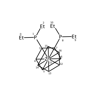 CCP(CC)[C]12[CH]3[CH]4[CH]5[C]1(P(CC)CC)[Zr]43521678[CH]2[CH]1[CH]6[CH]7[CH]28